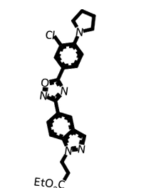 CCOC(=O)CCn1ncc2cc(-c3noc(-c4ccc(N5CCCC5)c(Cl)c4)n3)ccc21